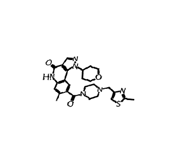 Cc1nc(CN2CCN(C(=O)c3cc4c(cc3C)[nH]c(=O)c3cnn(C5CCOCC5)c34)CC2)cs1